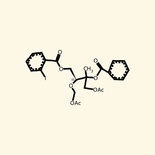 CC(=O)OCO[C@@H](COC(=O)c1ccccc1I)C(C)(COC(C)=O)OC(=O)c1ccccc1